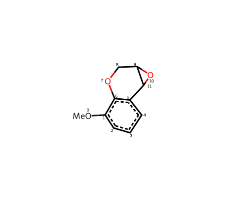 COc1cccc2c1OCC1OC21